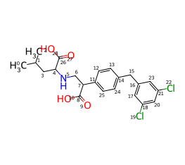 CC(C)CC(NCC(C(=O)O)c1ccc(Cc2cc(Cl)cc(Cl)c2)cc1)C(=O)O